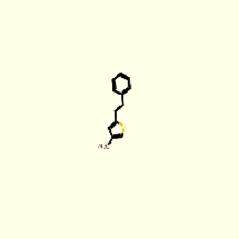 COc1csc(CCc2ccccc2)c1